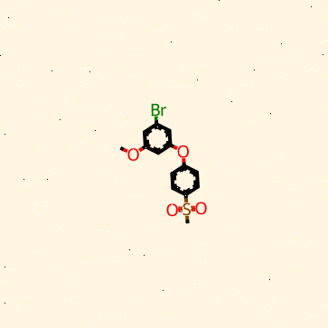 COc1cc(Br)cc(Oc2ccc(S(C)(=O)=O)cc2)c1